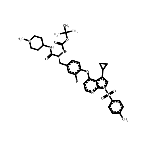 Cc1ccc(S(=O)(=O)n2cc(C3CC3)c3c(Oc4ccc(C[C@H](NC(=O)OC(C)(C)C)C(=O)NC5CCN(C)CC5)cc4F)ccnc32)cc1